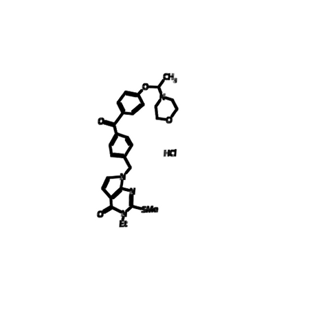 CCn1c(SC)nc2c(ccn2Cc2ccc(C(=O)c3ccc(OC(C)N4CCOCC4)cc3)cc2)c1=O.Cl